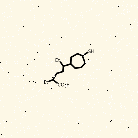 CCC(CCC(CC)C1CCCC(S)CC1)C(=O)O